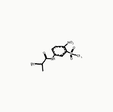 CC(C)C(C)C(=O)Nc1ccc([N+](=O)[O-])c(S(=O)(=O)C(F)(F)F)c1